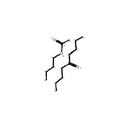 CCCCC(=O)CCCC.CCCCOC(C)=O